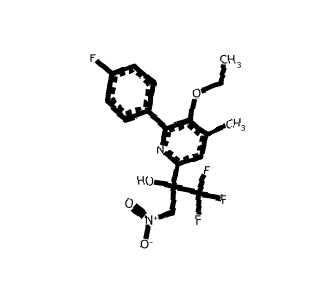 CCOc1c(C)cc(C(O)(C[N+](=O)[O-])C(F)(F)F)nc1-c1ccc(F)cc1